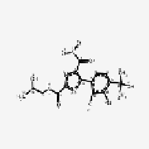 CCN(CC)C(=O)c1nc(C(=O)NC[C@@H](C)O)sc1-c1ccc(C(C)(C)O)c(Cl)c1Cl